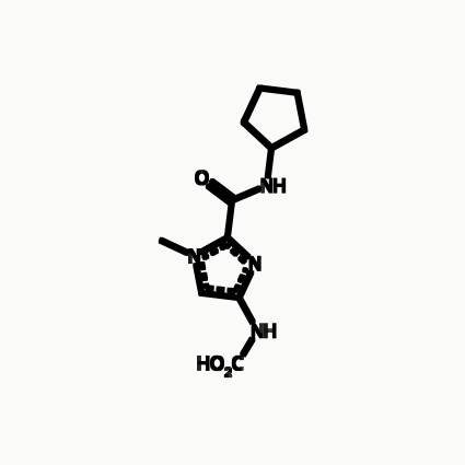 Cn1cc(NC(=O)O)nc1C(=O)NC1CCCC1